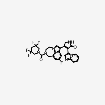 O=C1NCC(c2cn3c4c(cc(F)cc24)CN(C(=O)N2CC(F)(F)CC(F)(F)C2)CC3)=C1c1cnc2ccccn12